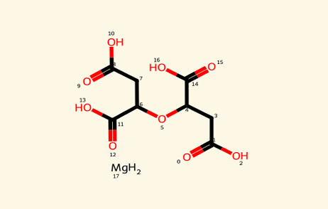 O=C(O)CC(OC(CC(=O)O)C(=O)O)C(=O)O.[MgH2]